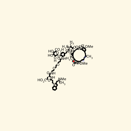 CNN(C)Cc1cc2ccccc2n1CCC(=O)N[C@H](CCC(=O)O)C(=O)NCCOCCOCCC(=O)Nc1cc(COC(=O)N(C)[C@@H](C)C(=O)O[C@H]2CC(=O)N(C)c3cc(cc(OC)c3Cl)C/C(C)=C/C=C/[C@@H](OC)[C@@]3(O)C[C@H](OC(=O)N3)[C@@H](C)[C@@H]3C[C@]23C)ccc1OC1O[C@H](C(=O)O)[C@@H](O)[C@H](O)[C@H]1O